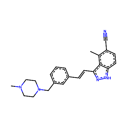 Cc1c(C#N)ccc2[nH]nc(C=Cc3cccc(CN4CCN(C)CC4)c3)c12